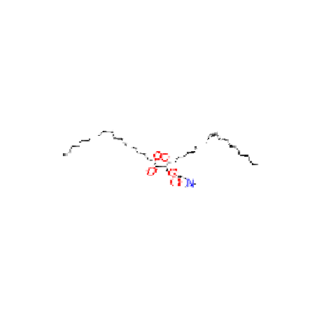 CCCCCCCC/C=C\CCCCCCCC(=O)C(=O)C(COC(=O)CN(C)C)C(=O)CCCCCCC/C=C\CCCCCCCC